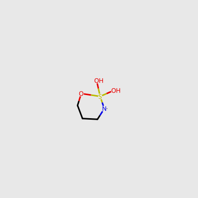 OS1(O)[N]CCCO1